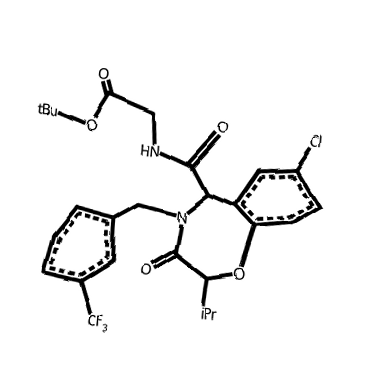 CC(C)C1Oc2ccc(Cl)cc2C(C(=O)NCC(=O)OC(C)(C)C)N(Cc2cccc(C(F)(F)F)c2)C1=O